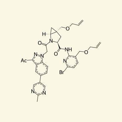 C=CCOCc1ccc(Br)nc1NC(=O)[C@@H]1C[C@]2(COCC=C)C[C@@H]2N1C(=O)Cn1nc(C(C)=O)c2cc(-c3cnc(C)nc3)ccc21